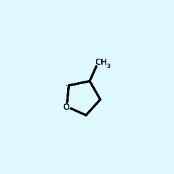 CC1[CH]OCC1